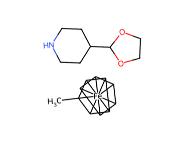 C1CC(C2OCCO2)CCN1.C[C]12[CH]3[CH]4[CH]5[CH]1[Fe]45321678[CH]2[CH]1[CH]6[CH]7[CH]28